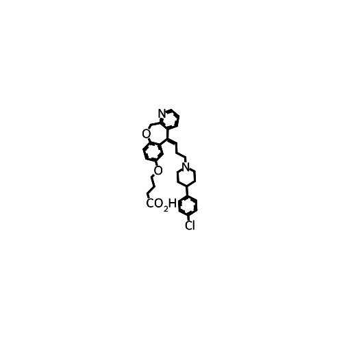 O=C(O)CCCOc1ccc2c(c1)C(=CCCN1CCC(c3ccc(Cl)cc3)CC1)c1cccnc1CO2